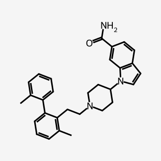 Cc1ccccc1-c1cccc(C)c1CCN1CCC(n2ccc3ccc(C(N)=O)cc32)CC1